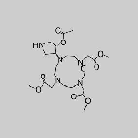 COC(=O)CN1CCN(CC(=O)OC)CCN([C@H]2CNC[C@@H]2OC(C)=O)CCN(CC(=O)OC)CC1